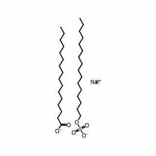 CCCCCCCCCCCCCCCC(=O)[O-].CCCCCCCCCCCCCCCCOS(=O)(=O)[O-].[K+].[Na+]